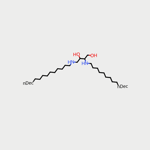 CCCCCCCCCCCCCCCCCCCCNCC(O)C(CO)NCCCCCCCCCCCCCCCCCCC